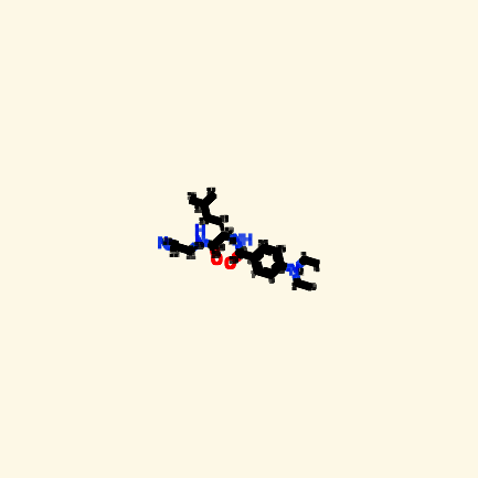 CCN(CC)c1ccc(C(=O)N[C@@H](CCC(C)C)C(=O)NCC#N)cc1